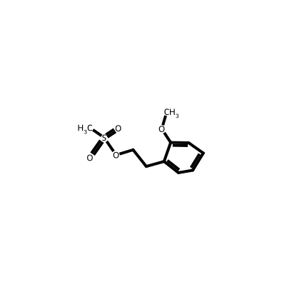 COc1ccccc1CCOS(C)(=O)=O